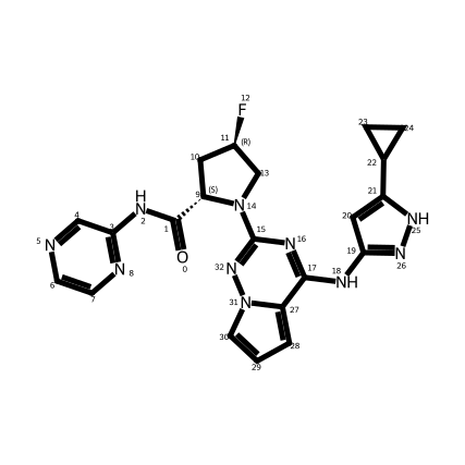 O=C(Nc1cnccn1)[C@@H]1C[C@@H](F)CN1c1nc(Nc2cc(C3CC3)[nH]n2)c2cccn2n1